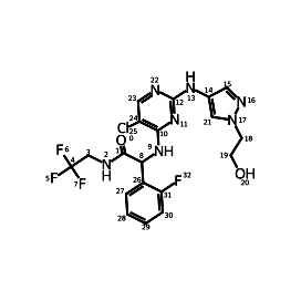 O=C(NCC(F)(F)F)C(Nc1nc(Nc2cnn(CCO)c2)ncc1Cl)c1ccccc1F